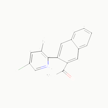 COC(=O)c1cc2ccccc2cc1-c1ncc(Br)cc1[N+](=O)[O-]